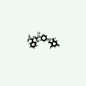 Cc1cc(C)c(CN[C@H]2CC[C@@H](Nc3nc(N(C)C)c4ccccc4n3)CC2)c(C)c1